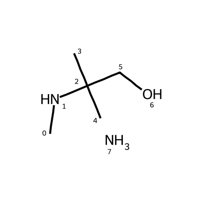 CNC(C)(C)CO.N